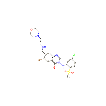 CCS(=O)(=O)c1ccc(Cl)cc1Nn1cnc2cc(CNCCN3CCOCC3)c(Br)cc2c1=O